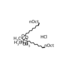 CCCCCCCC/C=C\CCCCCCCC(=O)OC(C)C(OC(=O)CCCCCCC/C=C\CCCCCCCC)N(C)C.Cl